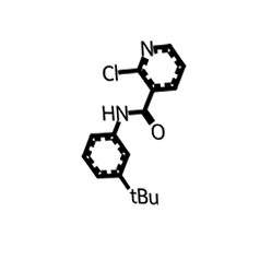 CC(C)(C)c1cccc(NC(=O)c2cccnc2Cl)c1